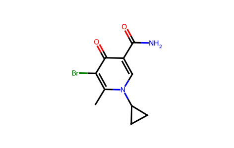 Cc1c(Br)c(=O)c(C(N)=O)cn1C1CC1